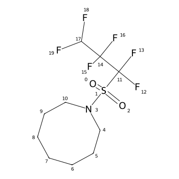 O=S(=O)(N1CCCCCCC1)C(F)(F)C(F)(F)C(F)F